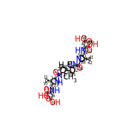 Cc1c(NC(=O)c2cc(C3CC3)c(CNC(CC(=O)O)C(=O)O)cn2)cccc1-c1cccc(NC(=O)c2cc(C3CC3)c(CNC(CC(=O)O)C(=O)O)cn2)c1C